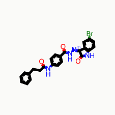 O=C(CCc1ccccc1)Nc1ccc(C(=O)N/N=C2\C(=O)Nc3ccc(Br)cc32)cc1